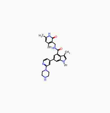 CCCc1cc(C)[nH]c(=O)c1CNC(=O)c1cc(-c2ccnc(N3CCNCC3)c2)cc2c1c(C)cn2C(C)C